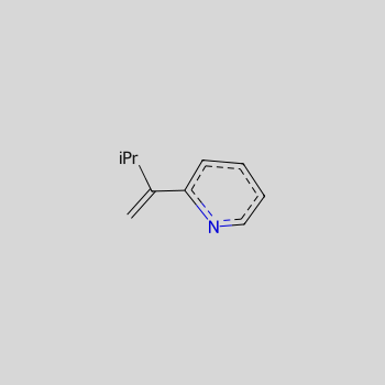 C=C(c1ccccn1)C(C)C